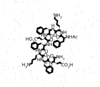 CC(=O)N[C@@H](Cc1ccccc1)C(=O)N[C@@H](CCCCN)C(=O)N[C@@H](Cc1ccccc1)C(=O)N[C@@H](CCC(=O)O)C(=O)N[C@@H](Cc1ccccc1)C(=O)N[C@@H](CCCCN)C(=O)N[C@@H](Cc1ccccc1)C(=O)N[C@@H](CCC(=O)O)C(N)=O